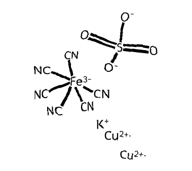 N#[C][Fe-3]([C]#N)([C]#N)([C]#N)([C]#N)[C]#N.O=S(=O)([O-])[O-].[Cu+2].[Cu+2].[K+]